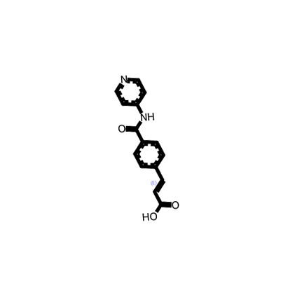 O=C(O)/C=C/c1ccc(C(=O)Nc2ccncc2)cc1